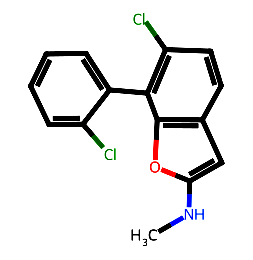 CNc1cc2ccc(Cl)c(-c3ccccc3Cl)c2o1